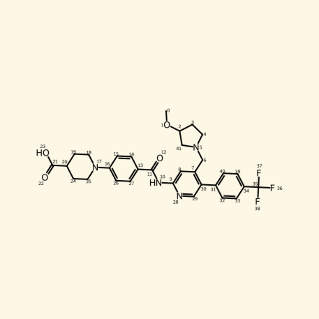 COC1CCN(Cc2cc(NC(=O)c3ccc(N4CCC(C(=O)O)CC4)cc3)ncc2-c2ccc(C(F)(F)F)cc2)C1